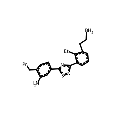 BCCc1cccc(-c2nsc(-c3ccc(CC(C)C)c(N)c3)n2)c1CC